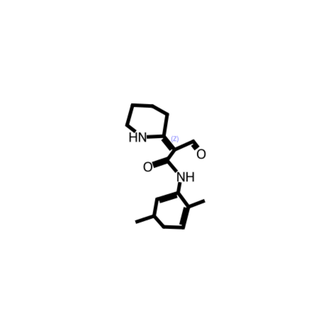 CC1=CCC(C)C=C1NC(=O)/C(C=O)=C1/CCCCN1